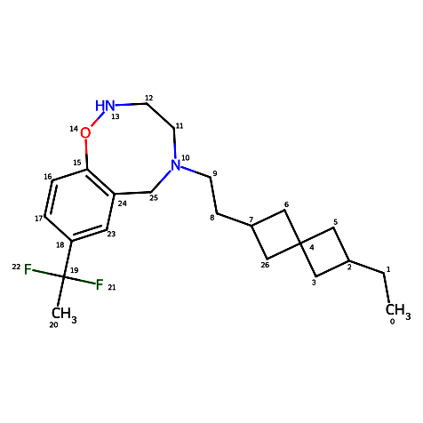 CCC1CC2(C1)CC(CCN1CCNOc3ccc(C(C)(F)F)cc3C1)C2